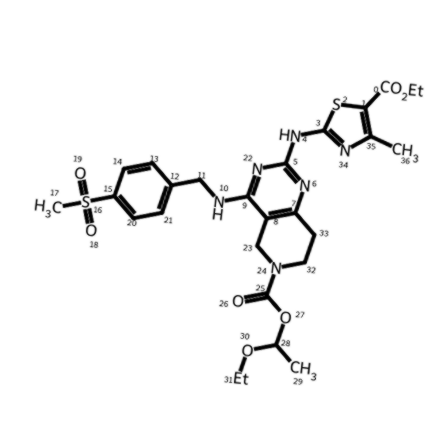 CCOC(=O)c1sc(Nc2nc3c(c(NCc4ccc(S(C)(=O)=O)cc4)n2)CN(C(=O)OC(C)OCC)CC3)nc1C